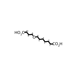 O=C(O)CCCCCCOCCCC(=O)O